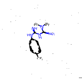 CC(C)N(C(=N)NC(=N)Nc1ccc(C(F)(F)F)cc1)C(C)C